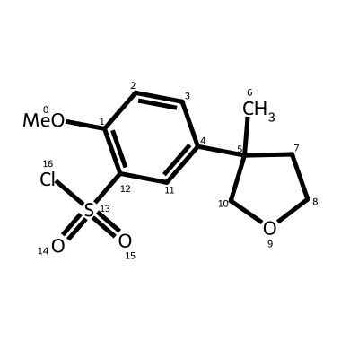 COc1ccc(C2(C)CCOC2)cc1S(=O)(=O)Cl